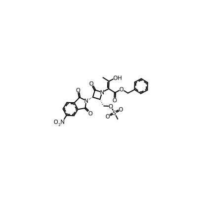 C/C(O)=C(/C(=O)OCc1ccccc1)N1C(=O)[C@@H](N2C(=O)c3ccc([N+](=O)[O-])cc3C2=O)[C@H]1COS(C)(=O)=O